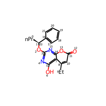 CCC[C@H](Oc1nc(O)c2c(CC)cc(=O)oc2n1)c1ccccc1